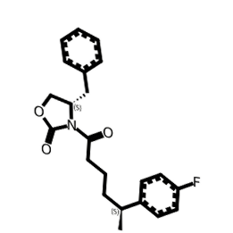 C[C@@H](CCCC(=O)N1C(=O)OC[C@@H]1Cc1ccccc1)c1ccc(F)cc1